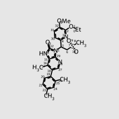 CCOc1nc(C(CS(C)(=O)=O)n2c(=O)[nH]c3c(C)c(-c4ccc(C)cc4C)cnc32)ccc1OC